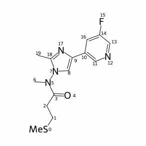 CSCCC(=O)N(C)n1cc(-c2cncc(F)c2)nc1C